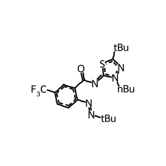 CCCCn1nc(C(C)(C)C)sc1=NC(=O)c1cc(C(F)(F)F)ccc1N=NC(C)(C)C